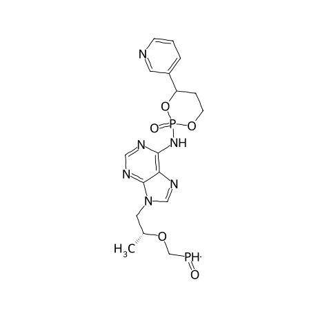 C[C@H](Cn1cnc2c(NP3(=O)OCCC(c4cccnc4)O3)ncnc21)OC[PH]=O